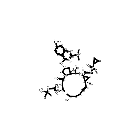 COc1ccc2c(O[C@@H]3C[C@H]4C(O)N[C@]5(C(=O)NS(=O)(=O)C6CC6)C[C@H]5/C=C\CC[C@H](C)C[C@@H](C)[C@H](NC(=O)OC(C)(C)C(F)(F)F)C(=O)N4C3)nc(N(C)C)nc2c1